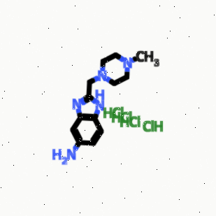 CN1CCN(Cc2nc3cc(N)ccc3[nH]2)CC1.Cl.Cl.Cl.Cl